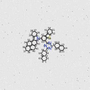 c1ccc2cc(-c3nc(-c4ccc5ccccc5c4)nc(-c4cc(-n5c6ccccc6c6c7ccc8cccc9ccc(cc65)c7c98)cc5c4sc4ccccc45)n3)ccc2c1